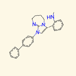 CNc1ccccc1C1=CN(c2ccc(-c3ccccc3)cc2)C2=NCCCCN12